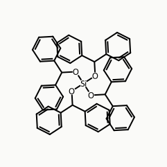 c1ccc(C(O[Si](OC(c2ccccc2)c2ccccc2)(OC(c2ccccc2)c2ccccc2)OC(c2ccccc2)c2ccccc2)c2ccccc2)cc1